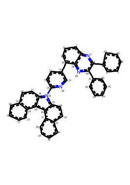 c1ccc(-c2nc3cccc(-c4ccc(-n5c6ccc7ccccc7c6c6c7ccccc7ccc65)nc4)c3nc2-c2ccccc2)cc1